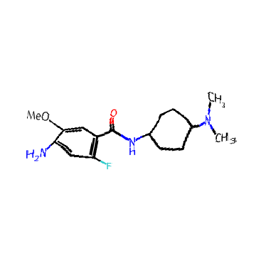 COc1cc(C(=O)NC2CCC(N(C)C)CC2)c(F)cc1N